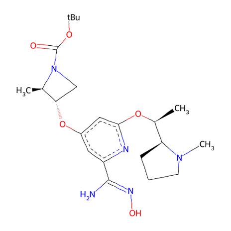 C[C@H](Oc1cc(O[C@H]2CN(C(=O)OC(C)(C)C)[C@@H]2C)cc(/C(N)=N/O)n1)[C@@H]1CCCN1C